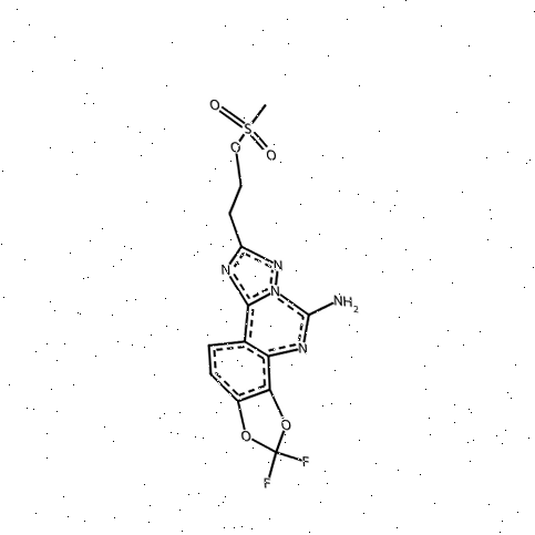 CS(=O)(=O)OCCc1nc2c3ccc4c(c3nc(N)n2n1)OC(F)(F)O4